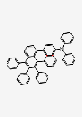 c1ccc(-c2c(-c3ccccc3)c(-c3ccccc3)c3c(-c4ccc(N(c5ccccc5)c5ccccc5)cc4)cccc3c2-c2ccccc2)cc1